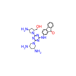 N[C@@H]1C[C@H](N)CN(c2nc(Nc3ccc4c(c3)C(=O)c3ccccc3-4)nc(N3C[C@@H](N)C[C@H]3CO)n2)C1